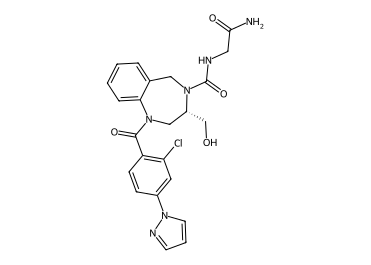 NC(=O)CNC(=O)N1Cc2ccccc2N(C(=O)c2ccc(-n3cccn3)cc2Cl)C[C@H]1CO